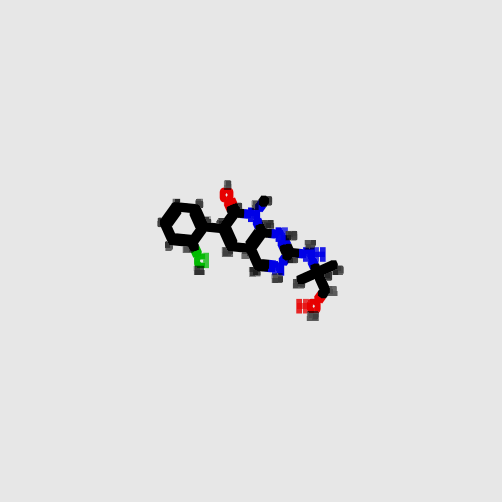 Cn1c(=O)c(-c2ccccc2Cl)cc2cnc(NC(C)(C)CO)nc21